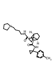 Cc1ccc(C2(NC(=O)[C@H]3[C@H](C(=O)NCCCCN4CCCC4)[C@H]4CC[C@@H]3C43CC3)CC2)cc1